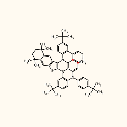 CC1C=C2C3=C(C1)N(c1ccc(C(C)(C)C)cc1-c1ccccc1)c1c(sc4cc5c(cc14)C(C)(C)CCC5(C)C)B3c1cc(C(C)(C)C)ccc1N2c1ccc(C(C)(C)C)cc1